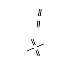 O=S(=O)(O)O.[Cu].[O]=[Pb]=[O]